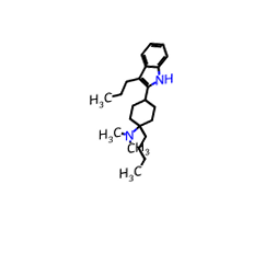 CCCCC1(N(C)C)CCC(c2[nH]c3ccccc3c2CCC)CC1